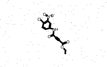 CCOC(=O)C#CC(=O)Nc1ccc(Cl)c([N+](=O)[O-])c1